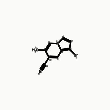 Cc1cn2ccc(Br)c2cc1C#N